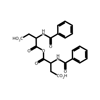 O=C(O)CC(NC(=O)c1ccccc1)C(=O)OC(=O)C(CC(=O)O)NC(=O)c1ccccc1